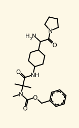 CN(C(=O)OCc1ccccc1)C(C)(C)C(=O)NC1CCC(C(N)C(=O)N2CCCC2)CC1